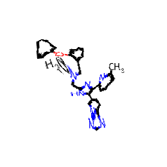 BN(Cc1nc(-c2cccc(C)n2)c(-c2ccc3ncnn3c2)[nH]1)Cc1ccccc1Oc1ccccc1